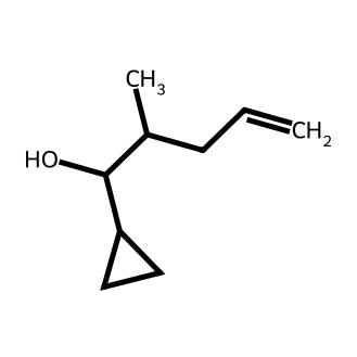 C=CCC(C)C(O)C1CC1